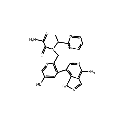 CC(c1ncccn1)N(Cc1ncc(C#N)cc1-c1cnc(N)c2cn[nH]c12)C(=O)C(N)=O